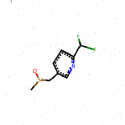 C[S+]([O-])Cc1ccc(C(F)F)nc1